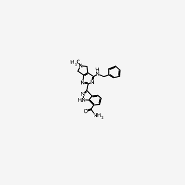 CN1Cc2nc(-c3n[nH]c4c(C(N)=O)cccc34)nc(NCc3ccccc3)c2C1